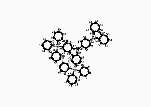 c1ccc([Si](c2ccccc2)(c2ccccc2)c2ccc3c(c2)c2cc([Si](c4ccccc4)(c4ccccc4)c4ccccc4)ccc2n3-c2ccc(-n3c4ccccc4c4ccccc43)cc2)cc1